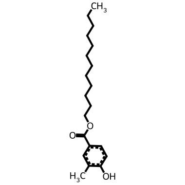 CCCCCCCCCCCCOC(=O)c1ccc(O)c(C)c1